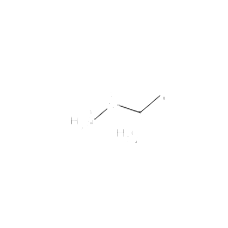 CCO[SiH3].O